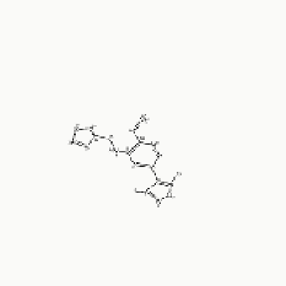 Cc1noc(C)c1-c1cnc(C=N)c(NCc2ccsc2)c1